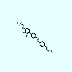 C/C=C/C1C=CC(COc2ccc(-c3ccc(OCC)c(F)c3F)cc2)CC1